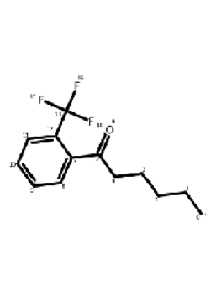 [CH2]CCCCC(=O)c1ccccc1C(F)(F)F